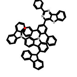 c1ccc(-c2nc(-c3cc(-c4ccccc4)c(-n4c5cc(-n6c7ccccc7c7ccccc76)ccc5c5c(C6c7ccccc7-c7ccccc76)cccc54)c(-c4ccccc4)c3)c3sc4ccccc4c3n2)cc1